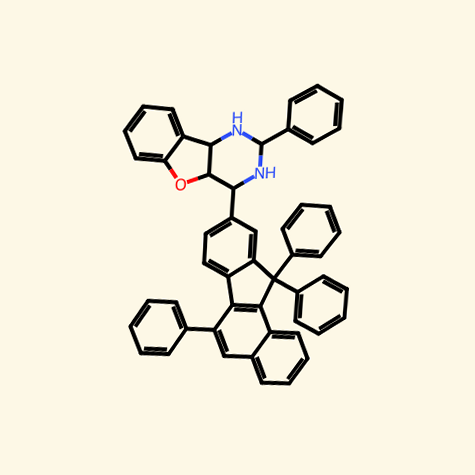 c1ccc(-c2cc3ccccc3c3c2-c2ccc(C4NC(c5ccccc5)NC5c6ccccc6OC45)cc2C3(c2ccccc2)c2ccccc2)cc1